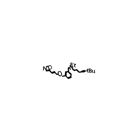 CCN(CC=CC#CC(C)(C)C)Cc1cccc(COCC=Cc2cnco2)c1